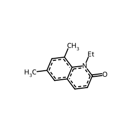 CCn1c(=O)ccc2cc(C)cc(C)c21